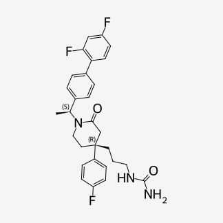 C[C@@H](c1ccc(-c2ccc(F)cc2F)cc1)N1CC[C@@](CCCNC(N)=O)(c2ccc(F)cc2)CC1=O